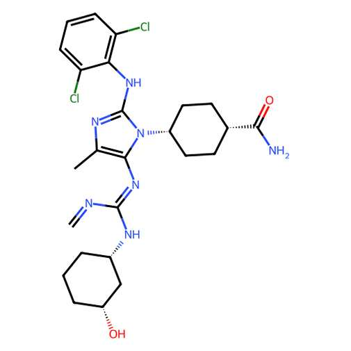 C=N/C(=N\c1c(C)nc(Nc2c(Cl)cccc2Cl)n1[C@H]1CC[C@@H](C(N)=O)CC1)N[C@H]1CCC[C@@H](O)C1